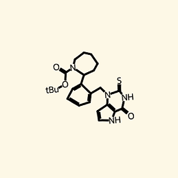 CC(C)(C)OC(=O)N1CCCCCC1c1ccccc1Cn1c(=S)[nH]c(=O)c2[nH]ccc21